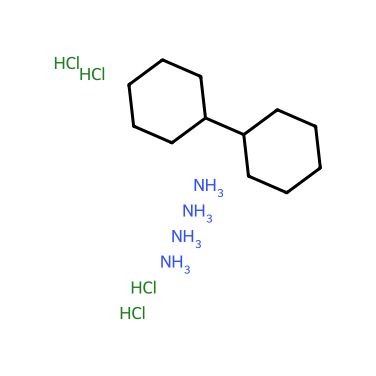 C1CCC(C2CCCCC2)CC1.Cl.Cl.Cl.Cl.N.N.N.N